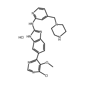 COc1c(Cl)ncnc1-c1ccc2nc(Nc3cc(CN4CCNCC4)ccn3)[nH]c2c1.Cl